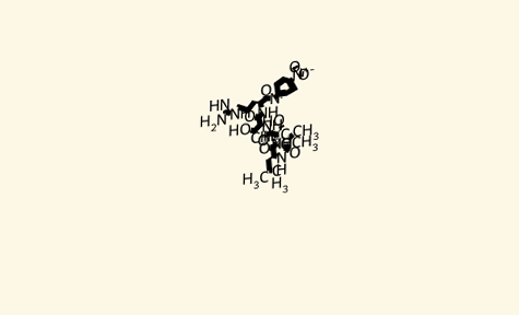 CC(C)C[C@H](NC(=O)OC(C)(C)C)C(=O)N[C@@H](CO)C(=O)N[C@H](C(=O)N[C@@H](CCCNC(=N)N)C(=O)[N]c1ccc([N+](=O)[O-])cc1)[C@@H](C)O